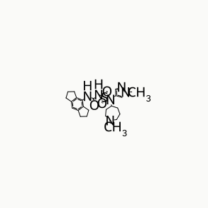 CN1CCCC(N(c2cnn(C)c2)S(=O)(=O)NC(=O)Nc2c3c(cc4c2CCC4)CCC3)CC1